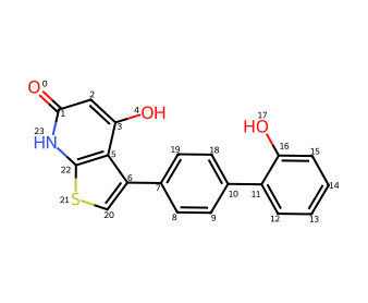 O=c1cc(O)c2c(-c3ccc(-c4ccccc4O)cc3)csc2[nH]1